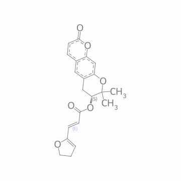 CC1(C)Oc2cc3oc(=O)ccc3cc2C[C@@H]1OC(=O)/C=C/C1=CCCO1